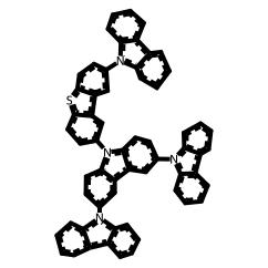 c1ccc2c(c1)c1ccccc1n2-c1ccc2sc3ccc(-n4c5ccc(-n6c7ccccc7c7ccccc76)cc5c5cc(-n6c7ccccc7c7ccccc76)ccc54)cc3c2c1